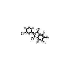 O=C1c2c(F)c(F)c(F)c(F)c2C(=O)N1c1cccc(Cl)c1